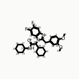 COc1ccc(Cc2nc3cc(F)c(F)cc3n2C(C(=O)NC2CCCCC2)C2CCCCC2)cc1OC